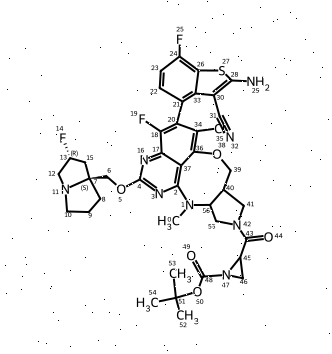 CN1c2nc(OC[C@@]34CCCN3C[C@H](F)C4)nc3c(F)c(-c4ccc(F)c5sc(N)c(C#N)c45)c(Cl)c(c23)OCC2CN(C(=O)C3CN3C(=O)OC(C)(C)C)CC21